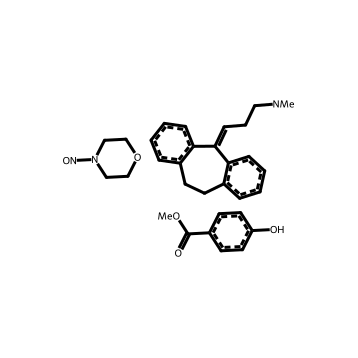 CNCCC=C1c2ccccc2CCc2ccccc21.COC(=O)c1ccc(O)cc1.O=NN1CCOCC1